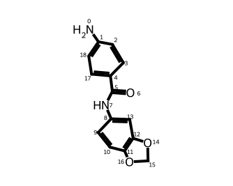 Nc1ccc(C(=O)Nc2ccc3c(c2)OCO3)cc1